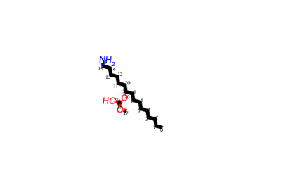 CCCCCCCCCCCCCCCCN.COC(=O)O